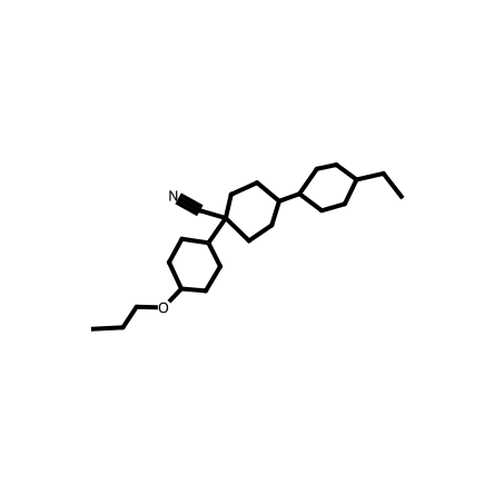 CCCOC1CCC(C2(C#N)CCC(C3CCC(CC)CC3)CC2)CC1